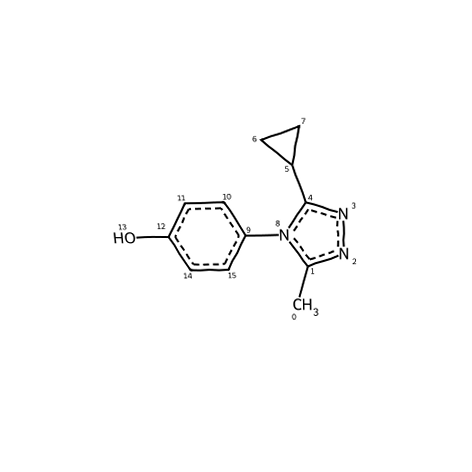 Cc1nnc(C2CC2)n1-c1ccc(O)cc1